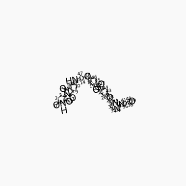 O=C1CCC(N2C(=O)c3ccc(N[C@H]4C[C@@H](Oc5ccc(S(=O)(=O)c6ccc(OCc7ccnc(N8CC9(COC9)C8)n7)cc6)cc5)C4)cc3C2=O)C(=O)N1